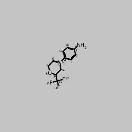 Nc1ccc(N2CCOC(C(F)(F)F)C2)cc1